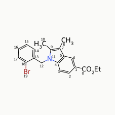 CCOC(=O)c1ccc2c(c1)c(C)c(C)n2Cc1ccccc1Br